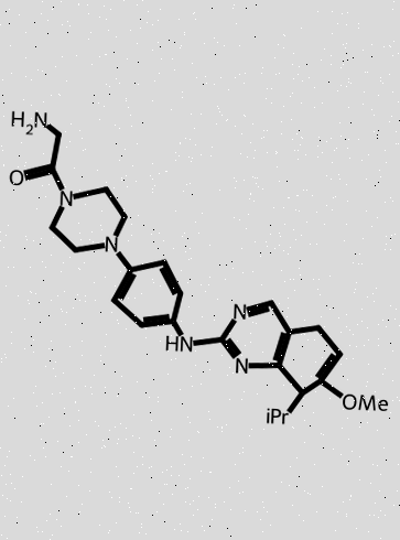 COC1=CCc2cnc(Nc3ccc(N4CCN(C(=O)CN)CC4)cc3)nc2C1C(C)C